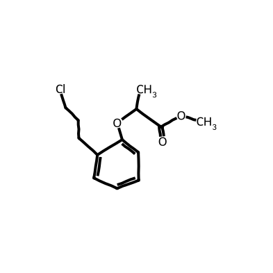 COC(=O)C(C)Oc1ccccc1CCCCl